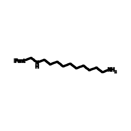 CCCC(C)CNCCCCCCCCCCN